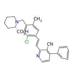 Cc1cc(/C=C/c2nccc(-c3ccccc3)c2C#N)c(Cl)cc1CN1CCCC[C@H]1C(=O)O